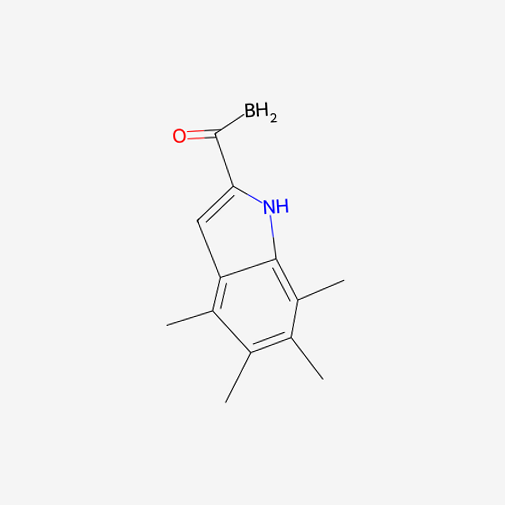 BC(=O)c1cc2c(C)c(C)c(C)c(C)c2[nH]1